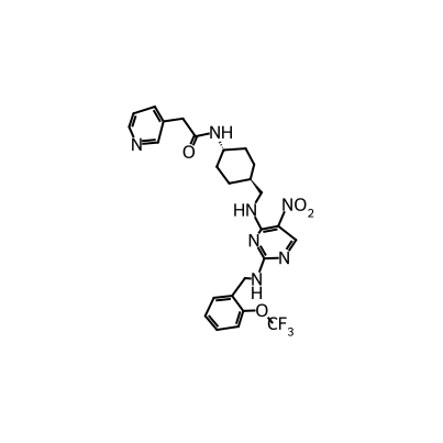 O=C(Cc1cccnc1)N[C@H]1CC[C@H](CNc2nc(NCc3ccccc3OC(F)(F)F)ncc2[N+](=O)[O-])CC1